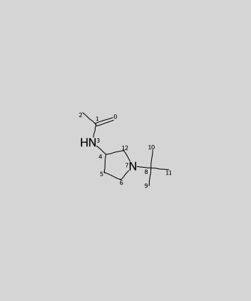 C=C(C)NC1CCN(C(C)(C)C)C1